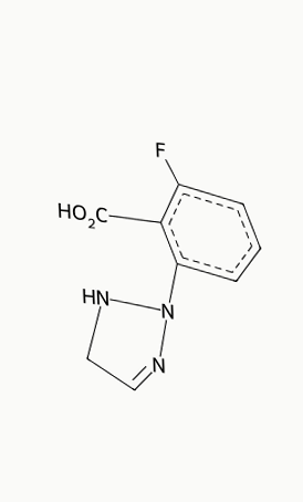 O=C(O)c1c(F)cccc1N1N=CCN1